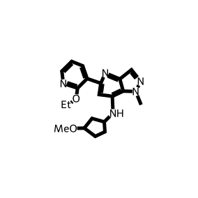 CCOc1ncccc1-c1cc(NC2CCC(OC)C2)c2c(cnn2C)n1